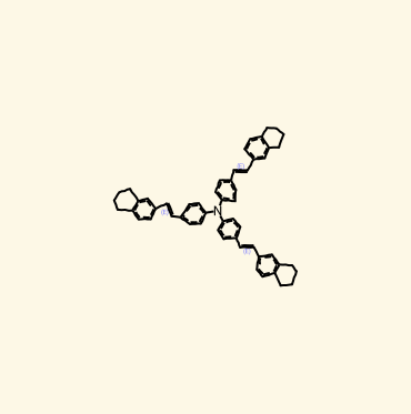 C(=C\c1ccc2c(c1)CCCC2)/c1ccc(N(c2ccc(/C=C/c3ccc4c(c3)CCCC4)cc2)c2ccc(/C=C/c3ccc4c(c3)CCCC4)cc2)cc1